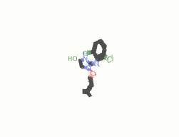 CC(C)=CCON1CCN/C1=N\c1c(Cl)cccc1Cl.Cl